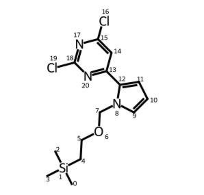 C[Si](C)(C)CCOCn1cccc1-c1cc(Cl)nc(Cl)n1